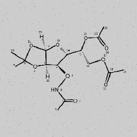 CC(=O)NO[C@H]1[C@H]2OC(C)(C)O[C@H]2O[C@@H]1[C@@H](COC(C)=O)OC(C)=O